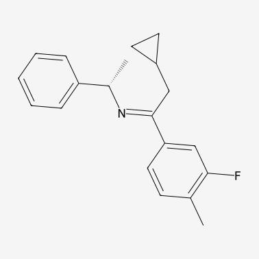 Cc1ccc(C(CC2CC2)=N[C@@H](C)c2ccccc2)cc1F